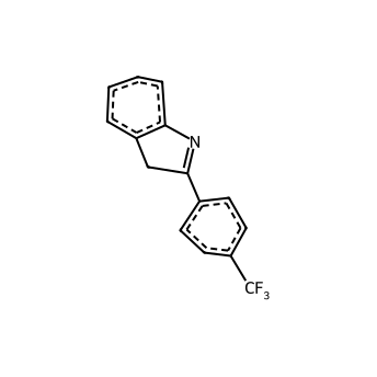 FC(F)(F)c1ccc(C2=Nc3ccccc3C2)cc1